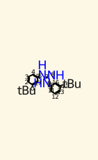 CC(C)(C)c1cccc(NC(=N)Nc2cccc(C(C)(C)C)c2)c1